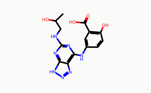 CC(O)CNc1nc(Nc2ccc(O)c(C(=O)O)c2)c2nn[nH]c2n1